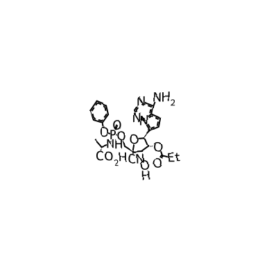 CCC(=O)O[C@H]1[C@H](c2ccc3c(N)ncnn23)O[C@](C#N)(CO[P@@](=O)(N[C@@H](C)C(=O)O)Oc2ccccc2)[C@H]1O